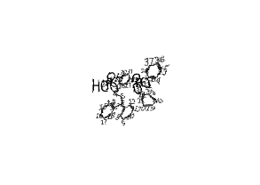 OP(O)OCC=C(c1ccccc1)c1ccccc1.c1ccc(OP(Oc2ccccc2)Oc2ccccc2)cc1